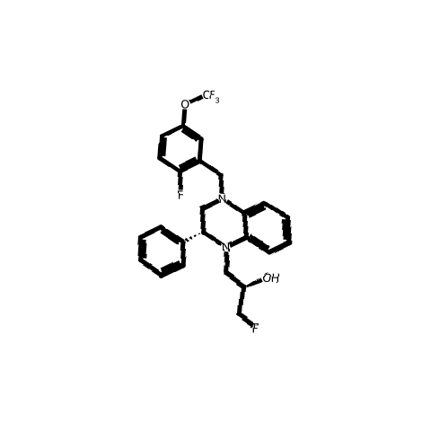 O[C@@H](CF)CN1c2ccccc2N(Cc2cc(OC(F)(F)F)ccc2F)C[C@H]1c1ccccc1